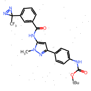 Cn1nc(-c2ccc(NC(=O)OC(C)(C)C)cc2)cc1NC(=O)c1cccc(C2(C(F)(F)F)N=N2)c1